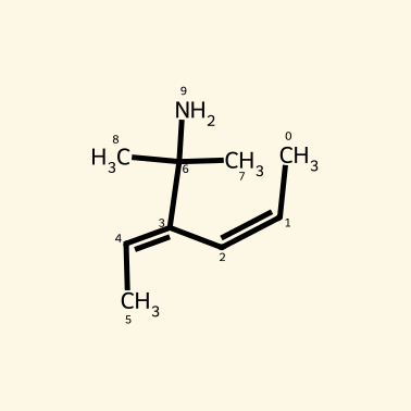 C/C=C\C(=C/C)C(C)(C)N